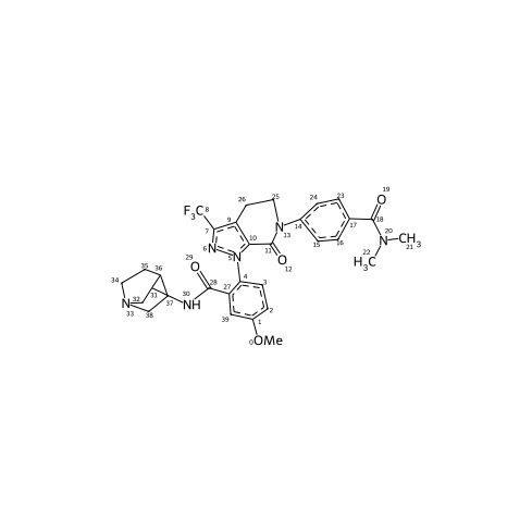 COc1ccc(-n2nc(C(F)(F)F)c3c2C(=O)N(c2ccc(C(=O)N(C)C)cc2)CC3)c(C(=O)NC2CN3CCC2CC3)c1